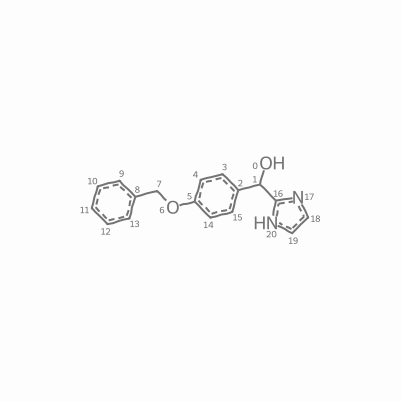 OC(c1ccc(OCc2ccccc2)cc1)c1ncc[nH]1